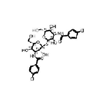 O=C(N[C@H]1[C@@H](O)[C@@H](CO)O[C@@H](S[C@@H]2O[C@H](CO)[C@H](O)[C@H](NC(=O)c3ccc(Cl)cc3)[C@H]2O)[C@@H]1O)c1ccc(Cl)cc1